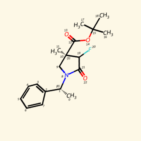 C[C@H](c1ccccc1)N1C[C@@](C)(C(=O)OC(C)(C)C)C(F)C1=O